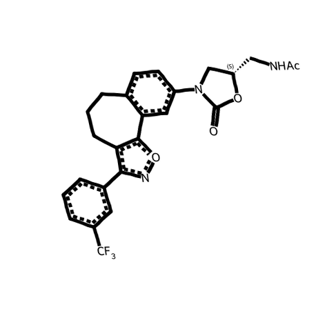 CC(=O)NC[C@H]1CN(c2ccc3c(c2)-c2onc(-c4cccc(C(F)(F)F)c4)c2CCC3)C(=O)O1